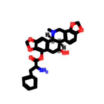 CN1Cc2c(ccc3c2OCO3)[C@@H]2[C@H]1c1cc3c(c(OC(=O)C(N)Cc4ccccc4)c1C[C@@H]2O)OCO3